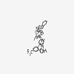 O=C(NCc1cc(-c2ccc(C(F)(F)F)cc2O)ncn1)[C@@H]1CCCN1S(=O)(=O)c1cc2ccccc2o1